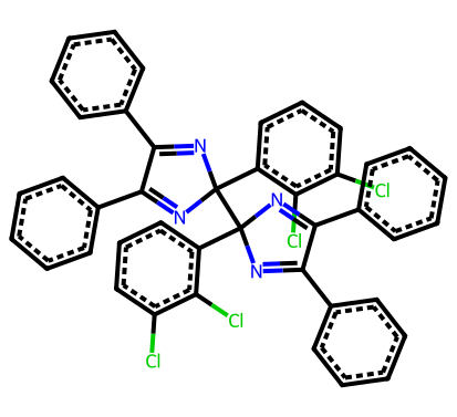 Clc1cccc(C2(C3(c4cccc(Cl)c4Cl)N=C(c4ccccc4)C(c4ccccc4)=N3)N=C(c3ccccc3)C(c3ccccc3)=N2)c1Cl